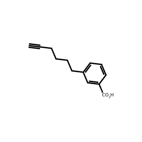 C#CCCCCc1cccc(C(=O)O)c1